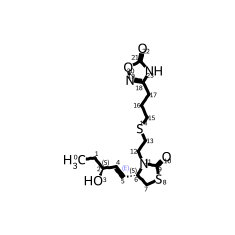 CC[C@H](O)/C=C/[C@H]1CSC(=O)N1CCSCCCc1noc(=O)[nH]1